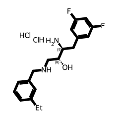 CCc1cccc(CNC[C@@H](O)[C@@H](N)Cc2cc(F)cc(F)c2)c1.Cl.Cl